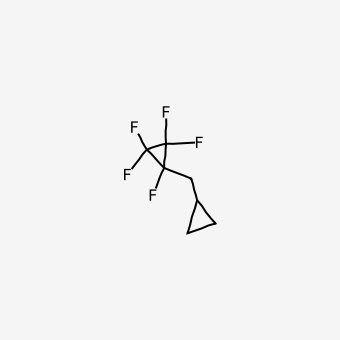 FC1(F)C(F)(F)C1(F)CC1CC1